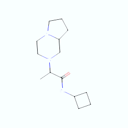 CC(C(=O)NC1CCC1)N1CCN2CCCC2C1